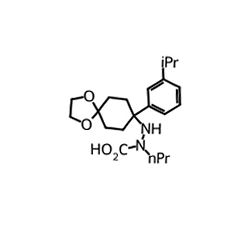 CCCN(NC1(c2cccc(C(C)C)c2)CCC2(CC1)OCCO2)C(=O)O